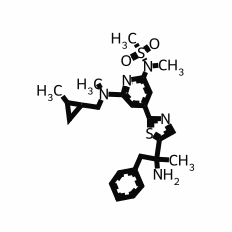 CC1CC1CN(C)c1cc(-c2ncc(C(C)(N)Cc3ccccc3)s2)cc(N(C)S(C)(=O)=O)n1